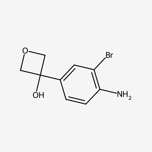 Nc1ccc(C2(O)COC2)cc1Br